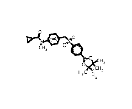 CN(C(=O)C1CC1)C12CCC(CS(=O)(=O)c3ccc(B4OC(C)(C)C(C)(C)O4)cc3)(CC1)CC2